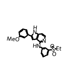 CCS(=O)(=O)c1cccc(Nc2nccc3[nH]c(-c4cccc(OC)c4)cc23)c1